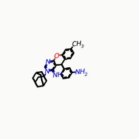 Cc1ccc2c(c1)Oc1ncn(C34CC5CC(CC(C5)C3)C4)c(=N)c1C2c1cccc(N)c1